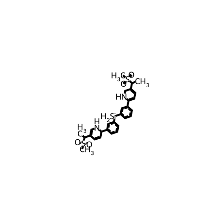 CC(C1=CNC(c2cccc([SiH2]c3cccc(C4=CC=C(C(C)S(C)(=O)=O)CN4)c3)c2)C=C1)S(C)(=O)=O